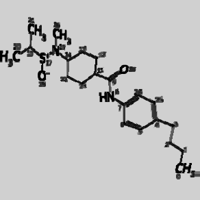 CCCCc1ccc(NC(=O)C2CCC(N(C)[S+]([O-])C(C)C)CC2)cc1